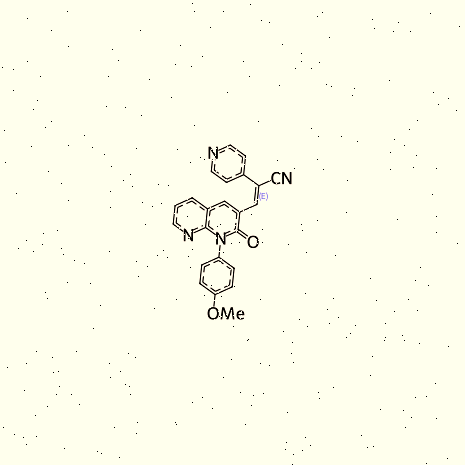 COc1ccc(-n2c(=O)c(/C=C(/C#N)c3ccncc3)cc3cccnc32)cc1